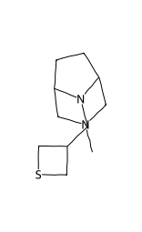 CN1CC2CCC(C1)N2CC1CSC1